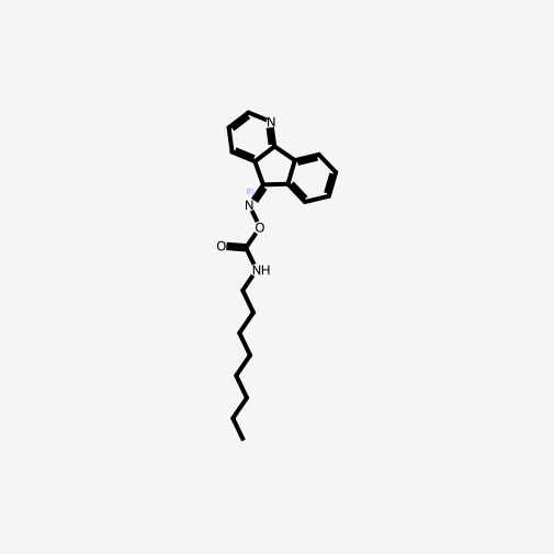 CCCCCCCCNC(=O)O/N=C1\c2ccccc2-c2ncccc21